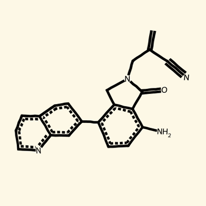 C=C(C#N)CN1Cc2c(-c3ccc4cccnc4c3)ccc(N)c2C1=O